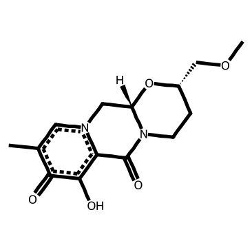 COC[C@@H]1CCN2C(=O)c3c(O)c(=O)c(C)cn3C[C@@H]2O1